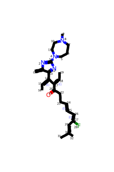 C=C1N=C(N2CCCN(C)CC2)N=C1C(=C/C)/C(=C\C)C(=O)CC/C=C/C=C(/F)C=C(C)C